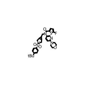 CC(C)(C)c1ccc(S(=O)(=O)N2CC3C(CN(C(=O)c4ccc(F)s4)c4ccc(N5CCOCC5)nc4)C3C2)cc1